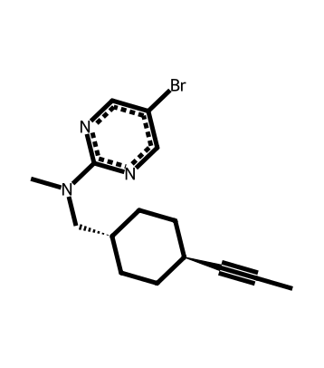 CC#C[C@H]1CC[C@H](CN(C)c2ncc(Br)cn2)CC1